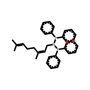 CC(C)=CCCC(C)=CCN(P(c1ccccc1)c1ccccc1)P(c1ccccc1)c1ccccc1